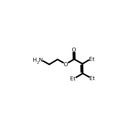 CCC(CC)=C(CC)C(=O)OCCN